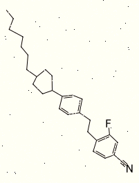 CCCCCCCC1CCC(c2ccc(CCc3ccc(C#N)cc3F)cc2)CC1